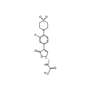 CC(=O)NC[C@H]1C=C(c2ccc(N3CCS(=O)(=O)CC3)c(F)c2)C(=O)O1